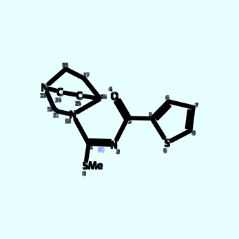 CS/C(=N/C(=O)c1cccs1)N1CCN2CCC1CC2